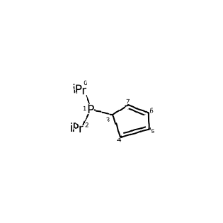 CC(C)P(C(C)C)C1C=CC=C1